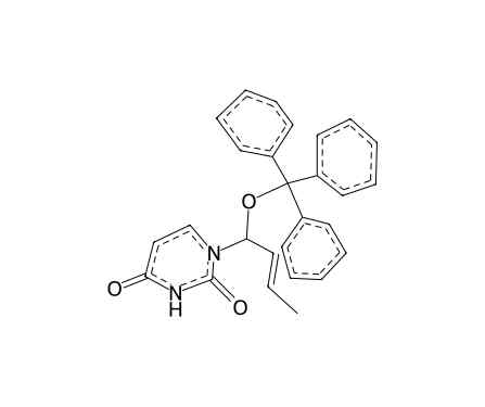 C/C=C/C(OC(c1ccccc1)(c1ccccc1)c1ccccc1)n1ccc(=O)[nH]c1=O